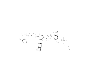 CC(C)c1ccccc1C1CCCN1C1CC2(CCN(c3cc(Oc4cnc5[nH]ccc5c4)c(C(=O)NS(=O)(=O)c4cc([N+](=O)[O-])c(NCC5(F)CCN(C6COC6)CC5)c5[nH]cnc45)cn3)CC2)C1